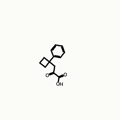 O=C(O)C(=O)CC1(c2ccccc2)CCC1